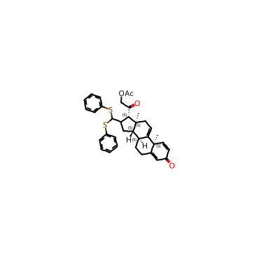 CC(=O)OCC(=O)[C@H]1C(C(Sc2ccccc2)Sc2ccccc2)C[C@H]2[C@@H]3CCC4=CC(=O)C=C[C@]4(C)C3=CC[C@]12C